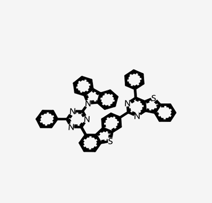 c1ccc(-c2nc(-c3cccc4sc5cc(-c6nc(-c7ccccc7)c7sc8ccccc8c7n6)ccc5c34)nc(-n3c4ccccc4c4ccccc43)n2)cc1